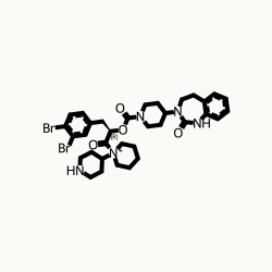 O=C(O[C@H](Cc1ccc(Br)c(Br)c1)C(=O)[N+]1(C2CCNCC2)CCCCC1)N1CCC(N2CCc3ccccc3NC2=O)CC1